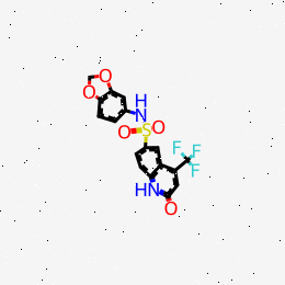 O=c1cc(C(F)(F)F)c2cc(S(=O)(=O)Nc3ccc4c(c3)OCO4)ccc2[nH]1